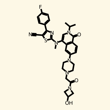 CC(C)n1cc(N(C)c2nc(-c3ccc(F)cc3)c(C#N)s2)c2cc(N3CCN(CC(=O)N4CC(O)C4)CC3)ccc2c1=O